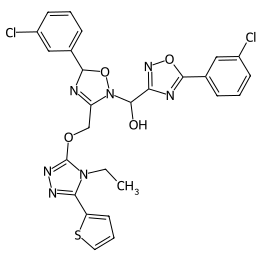 CCn1c(OCC2=NC(c3cccc(Cl)c3)ON2C(O)c2noc(-c3cccc(Cl)c3)n2)nnc1-c1cccs1